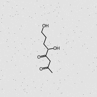 CC(=O)CC(=O)C(O)CCCO